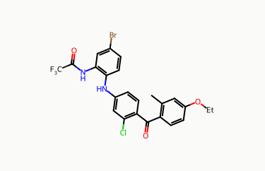 CCOc1ccc(C(=O)c2ccc(Nc3ccc(Br)cc3NC(=O)C(F)(F)F)cc2Cl)c(C)c1